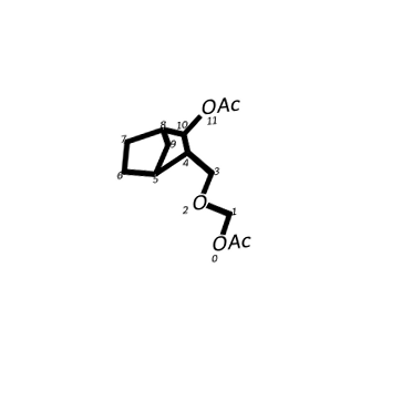 CC(=O)OCOCC1C2CCC(C2)C1OC(C)=O